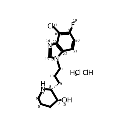 Cl.Cl.O[C@H]1CCCN[C@@H]1CCCn1cnc2c(Cl)c(F)ccc21